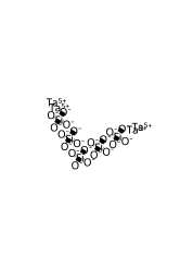 [O-][Si]([O-])([O-])[O-].[O-][Si]([O-])([O-])[O-].[O-][Si]([O-])([O-])[O-].[O-][Si]([O-])([O-])[O-].[O-][Si]([O-])([O-])[O-].[Ta+5].[Ta+5].[Ta+5].[Ta+5]